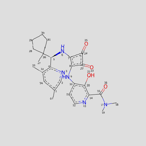 Cc1cnc([C@H](Nc2c(Nc3ccnc(C(=O)N(C)C)c3O)c(=O)c2=O)C2(C)CCCC2)c(C)c1